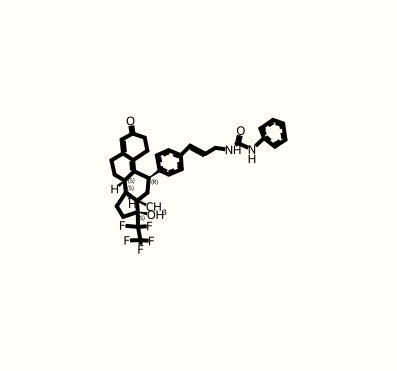 C[C@]12C[C@H](c3ccc(C=CCNC(=O)Nc4ccccc4)cc3)C3=C4CCC(=O)C=C4CC[C@H]3[C@@H]1CC[C@@]2(O)C(F)(F)C(F)(F)F